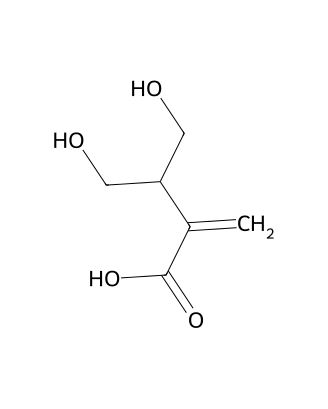 C=C(C(=O)O)C(CO)CO